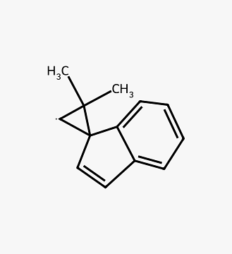 CC1(C)[CH]C12C=Cc1ccccc12